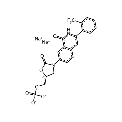 O=C1O[C@H](COP(=O)([O-])[O-])CN1c1ccc2cc(-c3ccccc3C(F)(F)F)[nH]c(=O)c2c1.[Na+].[Na+]